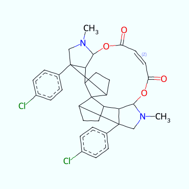 CN1CC2(c3ccc(Cl)cc3)C3C1OC(=O)/C=C\C(=O)OC1C4C5CCC(C4(c4ccc(Cl)cc4)CN1C)C51C3CCC21